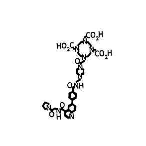 O=C(O)CN1CCN(CC(=O)O)CCN(CC(=O)N2CCN(CCNC(=O)c3ccc(-c4ccc5nccc(C(=O)NCC(=O)N6CCCC6)c5c4)cc3)CC2)CCN(CC(=O)O)CC1